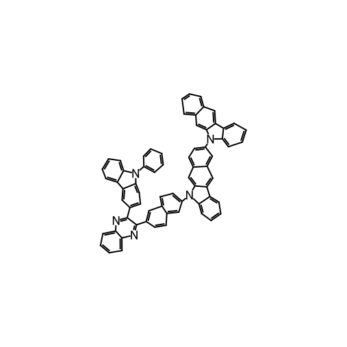 c1ccc(-n2c3ccccc3c3cc(-c4nc5ccccc5nc4-c4ccc5cc(-n6c7ccccc7c7cc8cc(-n9c%10ccccc%10c%10cc%11ccccc%11cc%109)ccc8cc76)ccc5c4)ccc32)cc1